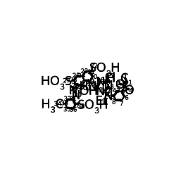 C=CS(=O)(=O)c1cccc(N(CC)c2nc(Cl)nc(Nc3cc(S(=O)(=O)O)cc4cc(S(=O)(=O)O)c(N=Nc5cc(C)ccc5S(=O)(=O)O)c(O)c34)n2)c1